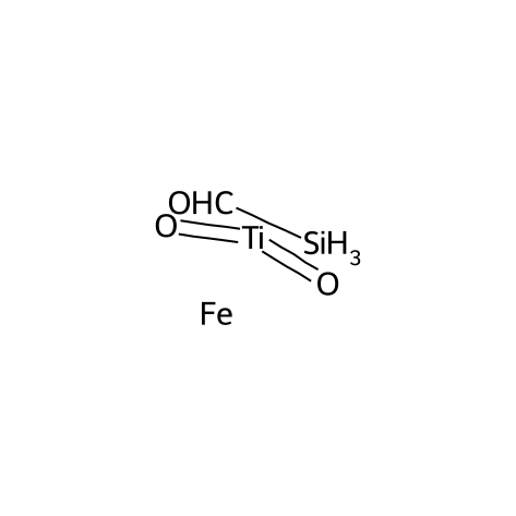 O=C[SiH3].[Fe].[O]=[Ti]=[O]